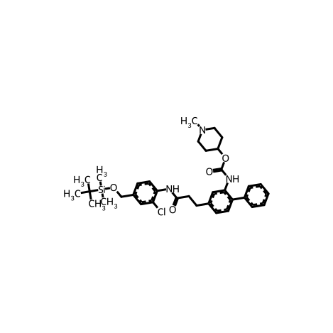 CN1CCC(OC(=O)Nc2cc(CCC(=O)Nc3ccc(CO[Si](C)(C)C(C)(C)C)cc3Cl)ccc2-c2ccccc2)CC1